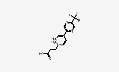 C=[N+](/C=C\C(=C/C)c1cnc(C(F)(F)F)cn1)CCC(=O)O